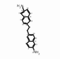 Nc1ccc2cc(CCc3ccc4cc(N)ccc4c3)ccc2c1